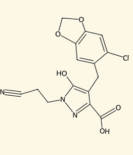 N#CCCn1nc(C(=O)O)c(Cc2cc3c(cc2Cl)OCO3)c1O